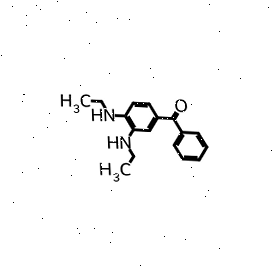 CCNc1ccc(C(=O)c2ccccc2)cc1NCC